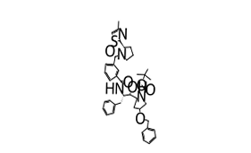 Cc1csc([C@H]2CCCN2C(=O)c2cccc(C(=O)N[C@@H](Cc3ccccc3)[C@H](O)C3CC(OCc4ccccc4)CN3C(=O)OC(C)(C)C)c2)n1